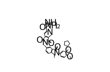 COc1ccc(N2C(=O)c3cc(CN4C(=O)c5cnc(C(=O)NN)cc5C4=O)ccc3C2C)cc1OC1CCCC1